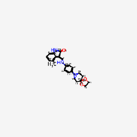 Cc1cccc2c1/C(=C\Nc1ccc(N3CCC4(CC3)OCCO4)cc1)C(=O)N2